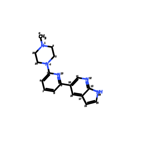 CN1CCN(c2cccc(-c3cnc4[nH]ccc4c3)n2)CC1